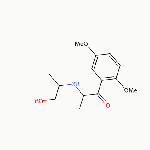 COc1ccc(OC)c(C(=O)C(C)NC(C)CO)c1